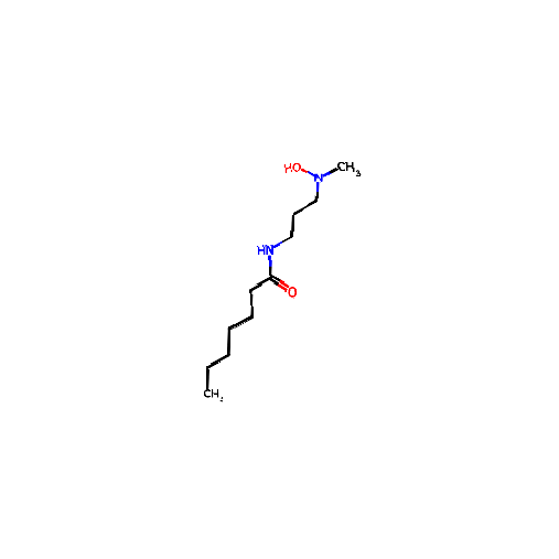 CCCCCCC(=O)NCCCN(C)O